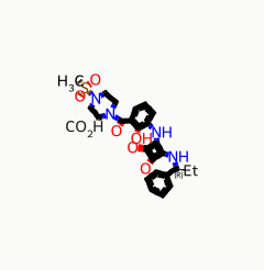 CC[C@@H](Nc1c(Nc2cccc(C(=O)N3CCN(S(C)(=O)=O)CC3C(=O)O)c2O)c(=O)c1=O)c1ccccc1